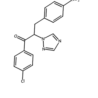 O=C(c1ccc(Cl)cc1)C(Cc1ccc([N+](=O)[O-])cc1)n1cncn1